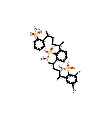 CCOS(=O)(=O)c1c(C(C)C)cc(C(C)C)cc1C(C)CCC(C)c1cccc(C(C)CCC(C)c2ccccc2S(=O)(=O)OC)c1S(=O)(=O)OCC